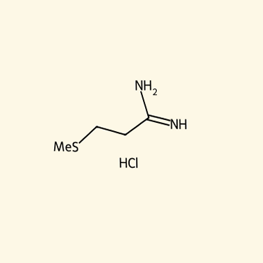 CSCCC(=N)N.Cl